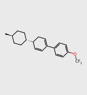 C[C@H]1CC[C@H](C2C=CC(c3ccc(OC(F)(F)F)cc3)=CC2)CC1